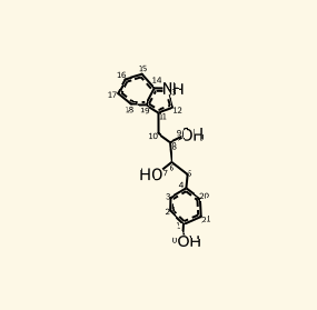 Oc1ccc(CC(O)C(O)Cc2c[nH]c3ccccc23)cc1